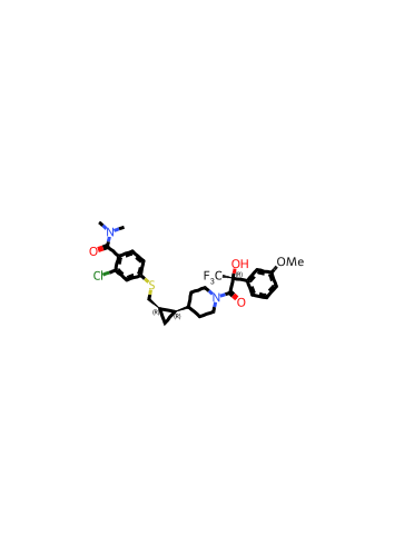 COc1cccc([C@@](O)(C(=O)N2CCC([C@H]3C[C@H]3CSc3ccc(C(=O)N(C)C)c(Cl)c3)CC2)C(F)(F)F)c1